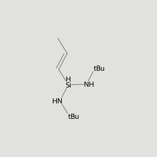 CC=C[SiH](NC(C)(C)C)NC(C)(C)C